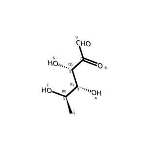 C[C@@H](O)[C@@H](O)[C@H](O)C(=O)C=O